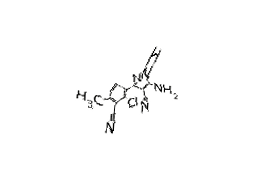 Cc1ccc(-c2n[nH]c(N)c2C#N)c(Cl)c1C#N